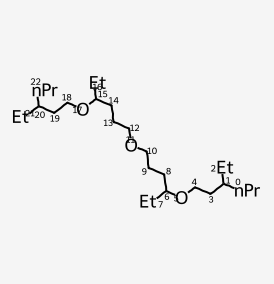 CCCC(CC)CCOC(CC)CCCOCCCC(CC)OCCC(CC)CCC